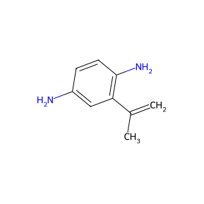 C=C(C)c1cc(N)ccc1N